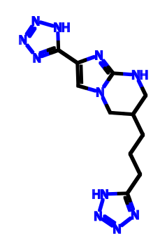 c1c(-c2nnn[nH]2)nc2n1CC(CCCc1nnn[nH]1)CN2